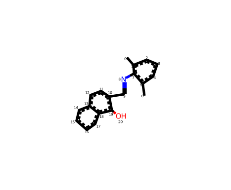 Cc1cccc(C)c1/N=C/c1ccc2ccccc2c1O